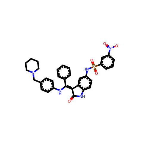 O=C1Nc2ccc(NS(=O)(=O)c3cccc([N+](=O)[O-])c3)cc2/C1=C(/Nc1ccc(CN2CCCCC2)cc1)c1ccccc1